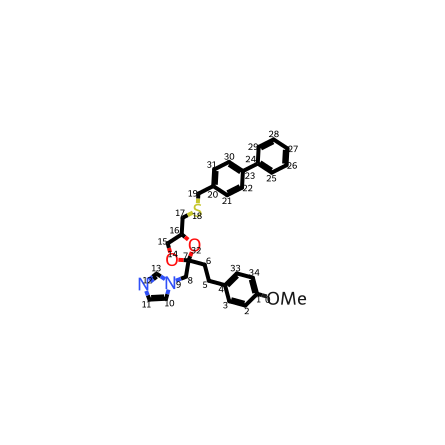 COc1ccc(CCC2(Cn3ccnc3)OCC(CSCc3ccc(-c4ccccc4)cc3)O2)cc1